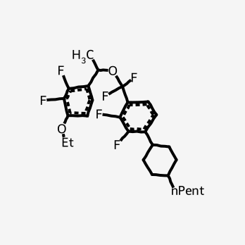 CCCCCC1CCC(c2ccc(C(F)(F)OC(C)c3ccc(OCC)c(F)c3F)c(F)c2F)CC1